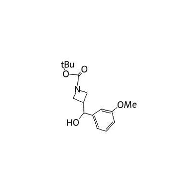 COc1cccc(C(O)C2CN(C(=O)OC(C)(C)C)C2)c1